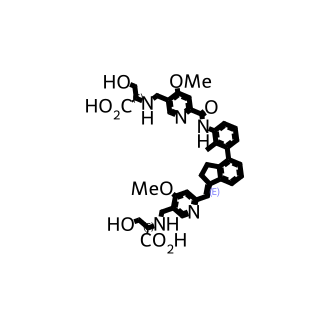 COc1cc(/C=C2\CCc3c2cccc3-c2cccc(NC(=O)c3cc(OC)c(CN[C@@H](CO)C(=O)O)cn3)c2C)ncc1CN[C@@H](CO)C(=O)O